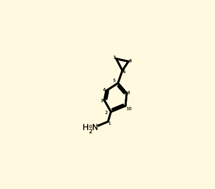 NCc1c[c]c(C2CC2)cc1